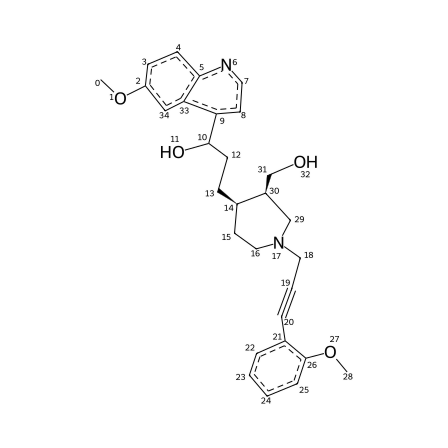 COc1ccc2nccc(C(O)CC[C@@H]3CCN(CC#Cc4ccccc4OC)C[C@@H]3CO)c2c1